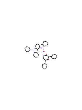 c1ccc(-c2cc3nc(-n4c5ccccc5c5ccc6c(c7ccccc7n6-c6ccccc6)c54)oc3c3c2oc2ccccc23)cc1